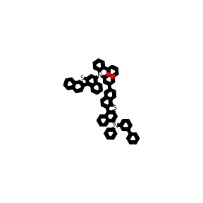 c1ccc(-c2cccc(N(c3ccccc3)c3cc4sc5c6ccc(-c7cccc(N(c8ccccc8-c8ccccc8)c8cc9sc%10c%11ccccc%11ccc%10c9c9ccccc89)c7)cc6ccc5c4c4ccccc34)c2)cc1